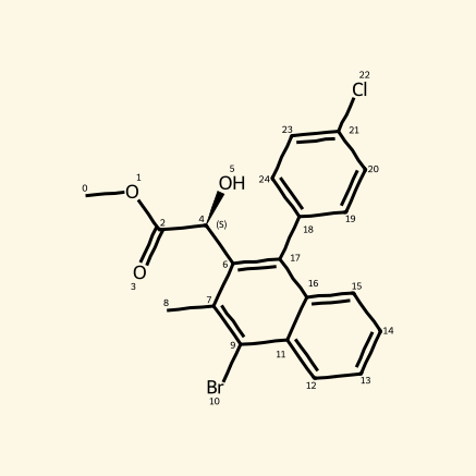 COC(=O)[C@@H](O)c1c(C)c(Br)c2ccccc2c1-c1ccc(Cl)cc1